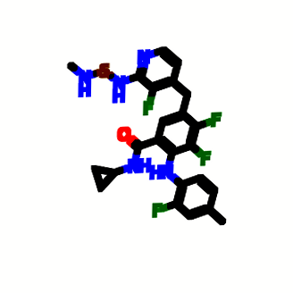 CNSNc1nccc(Cc2cc(C(=O)NC3CC3)c(Nc3ccc(C)cc3F)c(F)c2F)c1F